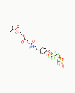 C=C(C)C(=O)OCCOC(=O)CCC(=O)NCCc1ccc(OS(=O)(=O)C(F)(F)C(F)(F)C(F)(F)S(=O)(=O)N[SH](=O)=O)cc1